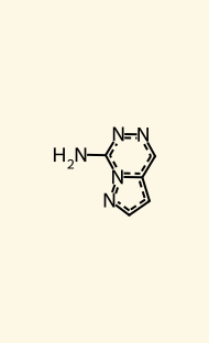 Nc1nncc2ccnn12